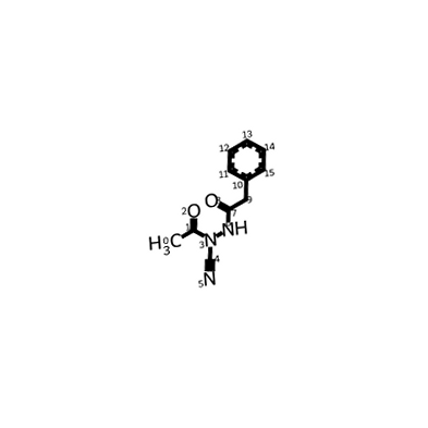 CC(=O)N(C#N)NC(=O)Cc1ccccc1